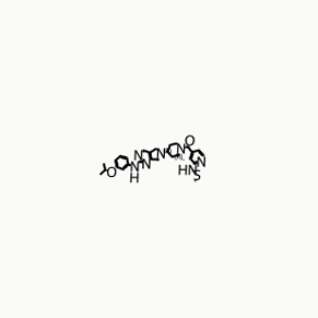 CSNc1cc(C(=O)N2CC[C@@H](N3Cc4cnc(Nc5cccc(OC(C)C)c5)nc4C3)C[C@H]2C)ccn1